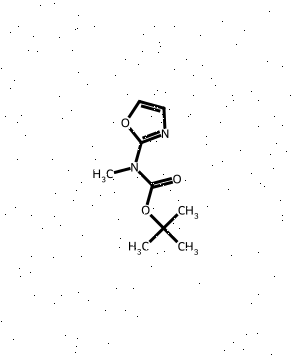 CN(C(=O)OC(C)(C)C)c1ncco1